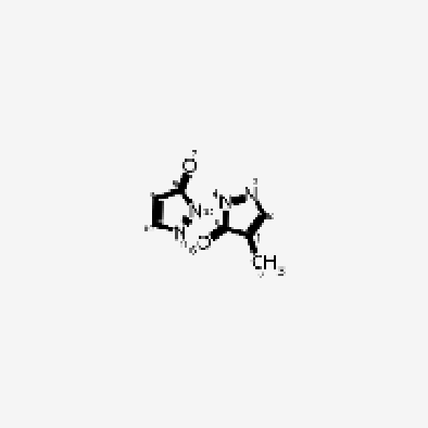 CC1=CN=NC1=O.O=C1C=CN=N1